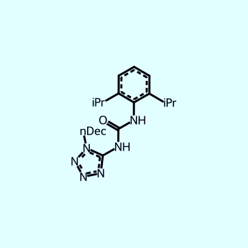 CCCCCCCCCCn1nnnc1NC(=O)Nc1c(C(C)C)cccc1C(C)C